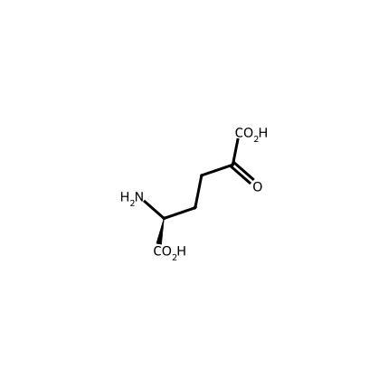 N[C@@H](CCC(=O)C(=O)O)C(=O)O